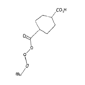 CC(C)(C)OOOC(=O)C1CCC(C(=O)O)CC1